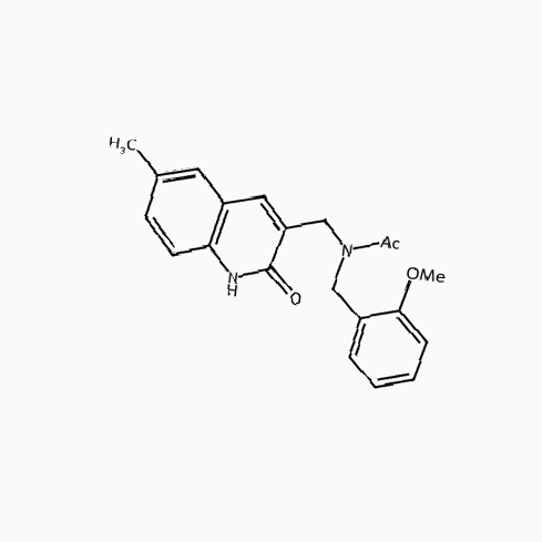 COc1ccccc1CN(Cc1cc2cc(C)ccc2[nH]c1=O)C(C)=O